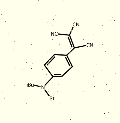 CCC(C)N(CC)c1ccc(C(C#N)=C(C#N)C#N)cc1